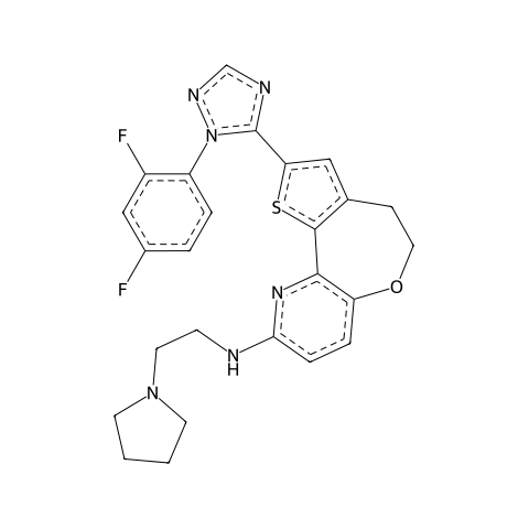 Fc1ccc(-n2ncnc2-c2cc3c(s2)-c2nc(NCCN4CCCC4)ccc2OCC3)c(F)c1